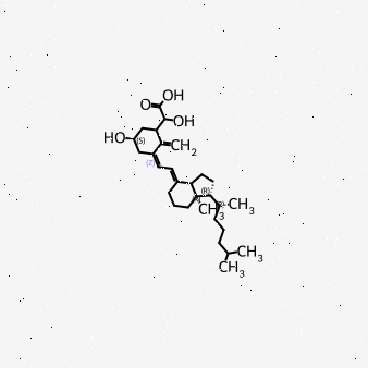 C=C1/C(=C\C=C2CCC[C@@]3(C)C2CC[C@@H]3[C@H](C)CCCC(C)C)C[C@@H](O)CC1C(O)C(=O)O